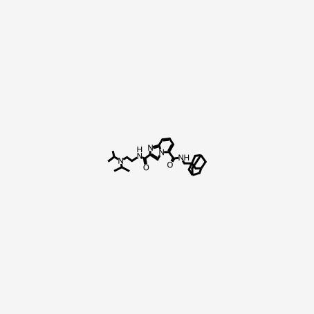 CC(C)N(CCNC(=O)c1cn2c(C(=O)NCC34CC5CC(CC(C5)C3)C4)cccc2n1)C(C)C